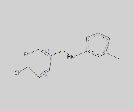 CC/C=C(\C=C/CCl)CNc1cccc(C)c1